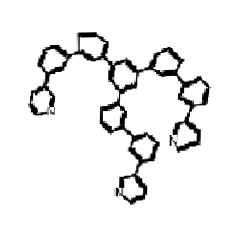 c1cncc(-c2cccc(-c3cccc(-c4cc(-c5cccc(-c6cccc(-c7cccnc7)c6)c5)cc(-c5cccc(-c6cccc(-c7cccnc7)c6)c5)c4)c3)c2)c1